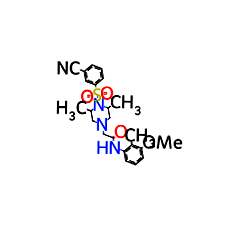 COc1cccc(NC(=O)CN2CC(C)N(S(=O)(=O)c3cccc(C#N)c3)C(C)C2)c1C